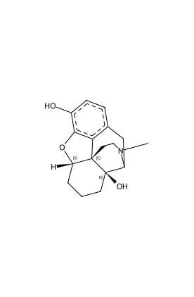 CN1CC[C@]23c4c5ccc(O)c4O[C@H]2CCC[C@@]3(O)C1C5